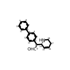 O=C[C@@H](c1ccc(-c2ccccc2)cc1)[C@H]1C=CCCN1